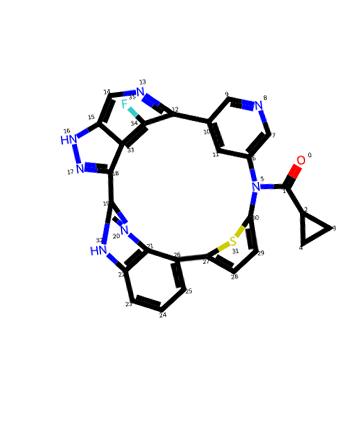 O=C(C1CC1)n1c2cncc(c2)c2ncc3[nH]nc(c4nc5c(cccc5c5ccc1s5)[nH]4)c3c2F